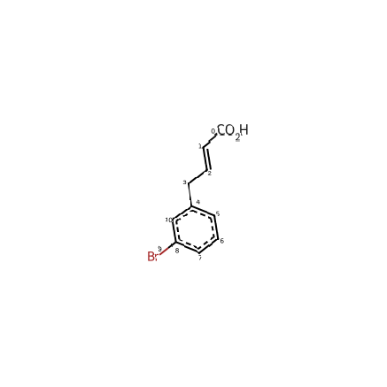 O=C(O)C=CCc1cccc(Br)c1